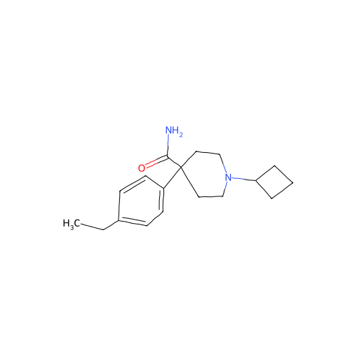 CCc1ccc(C2(C(N)=O)CCN(C3CCC3)CC2)cc1